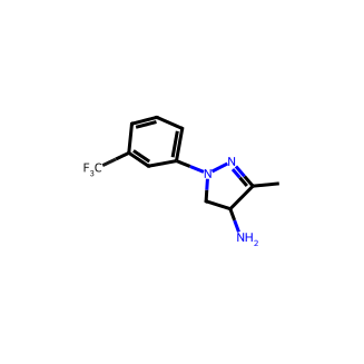 CC1=NN(c2cccc(C(F)(F)F)c2)CC1N